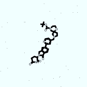 CC(C)(C)OC(=O)N1CCOC2(CCN(Cc3ccnc(-c4ccc5c(c4)CN(C4CCC(=O)NC4=O)C5=O)c3)C2)C1